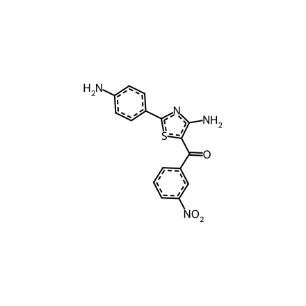 Nc1ccc(-c2nc(N)c(C(=O)c3cccc([N+](=O)[O-])c3)s2)cc1